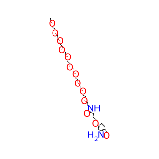 CCOCCOCCOCCOCCOCCOCCOCCOCCOCCOCCNC(=O)CCCOc1ccc(C=O)c(N)c1